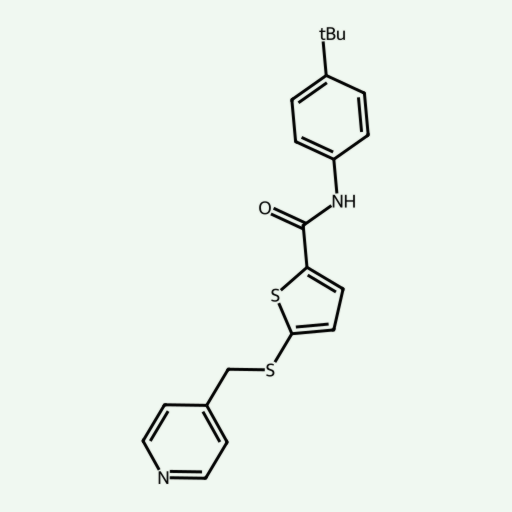 CC(C)(C)c1ccc(NC(=O)c2ccc(SCc3ccncc3)s2)cc1